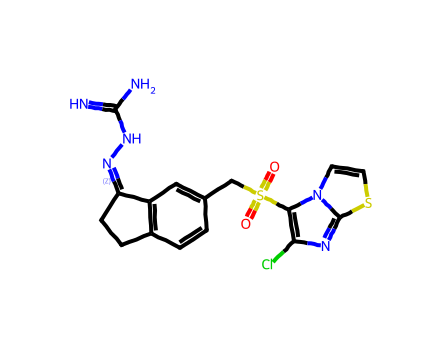 N=C(N)N/N=C1/CCc2ccc(CS(=O)(=O)c3c(Cl)nc4sccn34)cc21